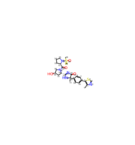 Cc1ncsc1-c1ccc([C@]2(C)NC([C@@H]3C[C@@H](O)CN3C(=O)[C@H]3CCCN3[SH](C)(C)=O)=NC2=O)cc1